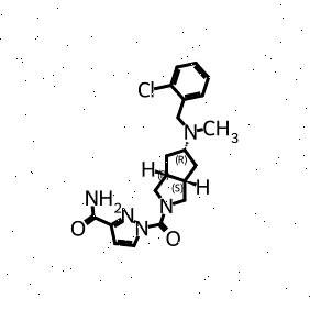 CN(Cc1ccccc1Cl)[C@@H]1C[C@@H]2CN(C(=O)n3ccc(C(N)=O)n3)C[C@@H]2C1